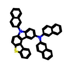 c1ccc2cc(N(c3ccc4ccccc4c3)c3ccc4c(c3)c3c5c(ccc3n4-c3ccc4ccccc4c3)sc3ccccc35)ccc2c1